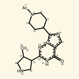 CC(=O)N1CCC(c2ncc3c(=O)[nH]c(C4CNCC4C)nn23)CC1